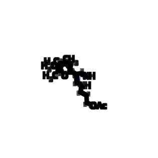 CC(=O)OCCCN/C=C(\C=N)B1OC(C)(C)C(C)(C)O1